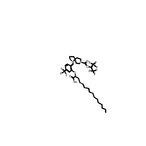 CCCCCCCCCCCCCCC(Oc1cc(C(F)(F)F)ccc1CN1CCCC12CCN(C(=O)OC(C(F)(F)F)C(F)(F)F)CC2)C(=O)O